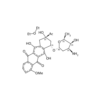 CCOCC.COc1cccc2c1C(=O)c1c(O)c3c(c(O)c1C2=O)C[C@@](O)(C(C)=O)C[C@@H]3O[C@H]1C[C@H](N)[C@H](O)[C@H](C)O1